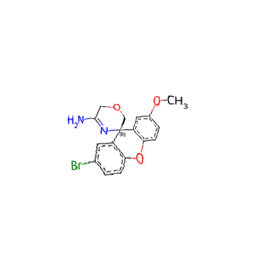 COc1ccc2c(c1)[C@]1(COCC(N)=N1)c1cc(Br)ccc1O2